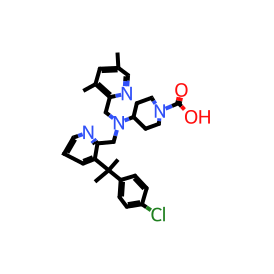 Cc1cnc(CN(Cc2ncccc2C(C)(C)c2ccc(Cl)cc2)C2CCN(C(=O)O)CC2)c(C)c1